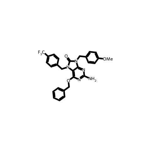 COc1ccc(Cn2c(=O)n(Cc3ccc(C(F)(F)F)cc3)c3c(OCc4ccccc4)nc(N)nc32)cc1